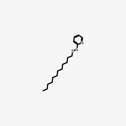 CCCCCCCCCCCCSSc1ccccn1